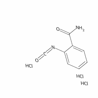 Cl.Cl.Cl.NC(=O)c1ccccc1N=C=O